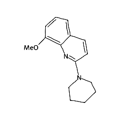 COc1cccc2ccc(N3CCCCC3)nc12